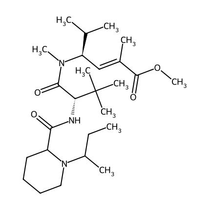 CCC(C)N1CCCCC1C(=O)N[C@H](C(=O)N(C)[C@H](/C=C(\C)C(=O)OC)C(C)C)C(C)(C)C